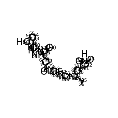 CO[C@@H]1C[C@H](c2ccc(C(=O)N3CCC(F)(CN4CCC(n5cc(C6CC6)c6cc(N7CCC(=O)NC7=O)ccc65)CC4)CC3)cc2)CN(c2cc(-c3ccccc3O)nnc2N)C1